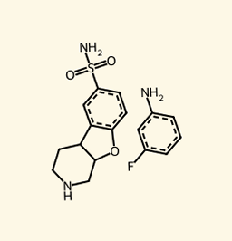 NS(=O)(=O)c1ccc2c(c1)C1CCNCC1O2.Nc1cccc(F)c1